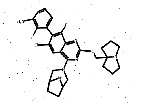 Nc1cccc(-c2c(Cl)cc3c(N4CC5CCC(C4)N5)nc(OCC45CCCN4CCC5)nc3c2F)c1F